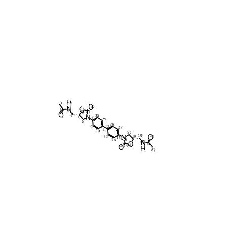 CC(=O)NC[C@H]1CN(c2ccc(-c3ccc(N4C[C@H](CNC(C)=O)OC4=O)cc3)cc2)C(=O)O1